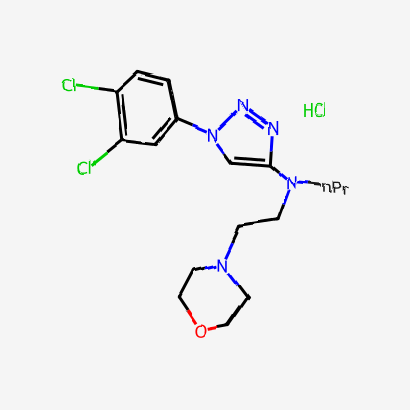 CCCN(CCN1CCOCC1)c1cn(-c2ccc(Cl)c(Cl)c2)nn1.Cl